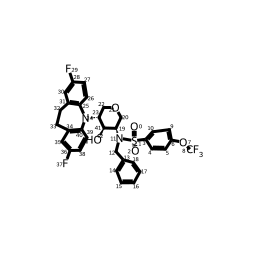 O=S(=O)(c1ccc(OC(F)(F)F)cc1)N(Cc1ccccc1)[C@H]1COC[C@@H](N2c3ccc(F)cc3CCc3cc(F)ccc32)[C@@H]1O